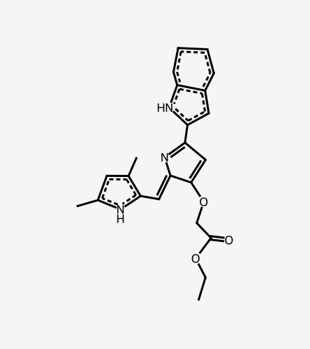 CCOC(=O)COC1=CC(c2cc3ccccc3[nH]2)=NC1=Cc1[nH]c(C)cc1C